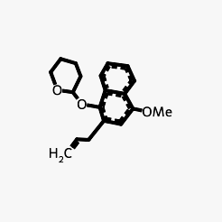 C=CCc1cc(OC)c2ccccc2c1OC1CCCCO1